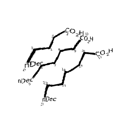 CCCCCCCCCCCCCC(=O)O.CCCCCCCCCCCCCCC(=O)O.CCCCCCCCCCCCCCCC(=O)O